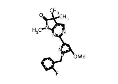 COc1cc(-c2ncc3c(n2)N(C)C(=O)C3(C)C)nn1Cc1ccccc1F